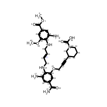 COC(=O)c1cc(N)c(NC/C=C/CNc2c(N)cc(C(N)=O)cc2OCC#CC2CCCN(C(=O)O)C2)c(OC)c1